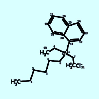 CCCCCC[N+](CC)(CC)c1cccc2ccccc12.[Cl-]